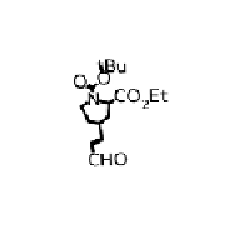 CCOC(=O)C1CC(C=CC=O)CCN1C(=O)OC(C)(C)C